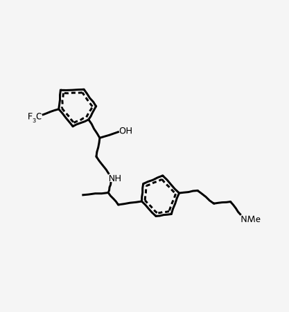 CNCCCc1ccc(CC(C)NCC(O)c2cccc(C(F)(F)F)c2)cc1